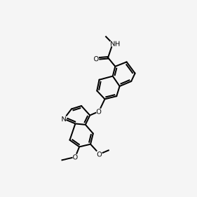 CNC(=O)c1cccc2cc(Oc3ccnc4cc(OC)c(OC)cc34)ccc12